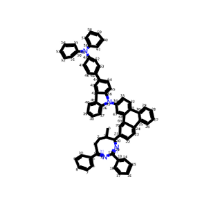 CC1CC/C(c2ccccc2)=N\C(c2ccccc2)=N/C1c1ccc2c3ccccc3c3ccc(-n4c5ccccc5c5cc(-c6ccc(N(c7ccccc7)c7ccccc7)cc6)ccc54)cc3c2c1